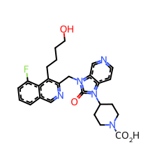 O=C(O)N1CCC(n2c(=O)n(Cc3ncc4cccc(F)c4c3CCCCO)c3cnccc32)CC1